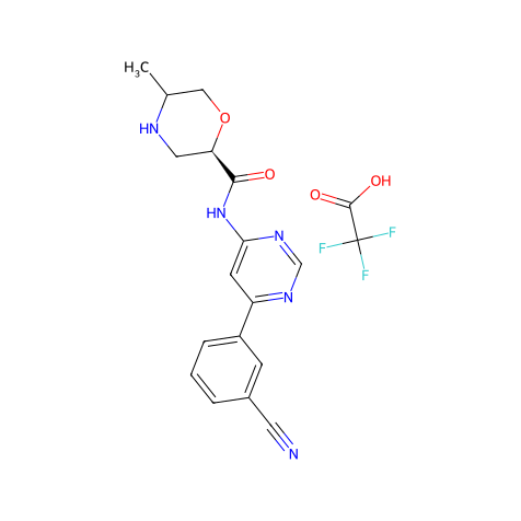 CC1CO[C@@H](C(=O)Nc2cc(-c3cccc(C#N)c3)ncn2)CN1.O=C(O)C(F)(F)F